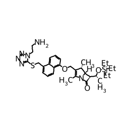 CC[Si](CC)(CC)O[C@H](C)[C@H]1C(=O)N2C(C)=C(COc3cccc4c(CSc5nnnn5CCN)cccc34)[C@H](C)[C@H]12